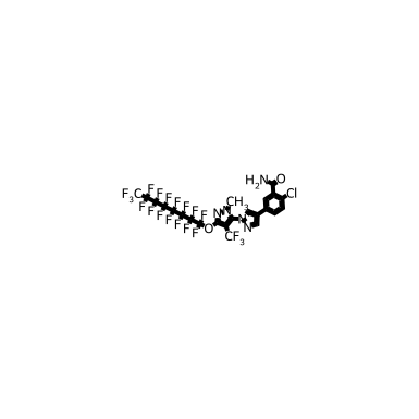 Cn1nc(OC(F)(F)C(F)(F)C(F)(F)C(F)(F)C(F)(F)C(F)(F)C(F)(F)C(F)(F)F)c(C(F)(F)F)c1-n1cc(-c2ccc(Cl)c(C(N)=O)c2)cn1